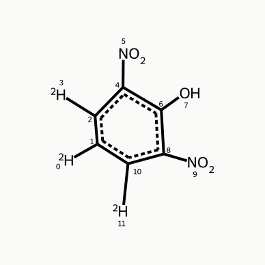 [2H]c1c([2H])c([N+](=O)[O-])c(O)c([N+](=O)[O-])c1[2H]